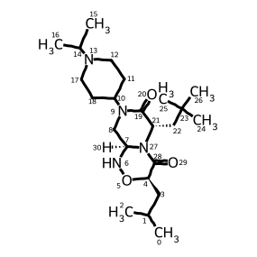 CC(C)C[C@H]1ON[C@H]2CN(C3CCN(C(C)C)CC3)C(=O)[C@H](CC(C)(C)C)N2C1=O